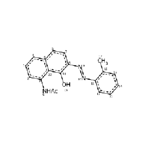 CC(=O)Nc1cccc2ccc(N=Nc3ccccc3C)c(O)c12